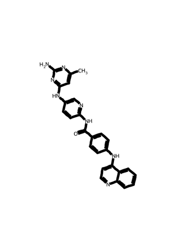 Cc1cc(Nc2ccc(NC(=O)c3ccc(Nc4ccnc5ccccc45)cc3)nc2)nc(N)n1